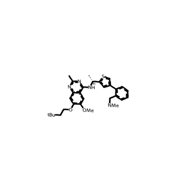 CNCc1ccccc1-c1csc([C@@H](C)Nc2nc(C)nc3cc(OCCC(C)(C)C)c(OC)cc23)c1